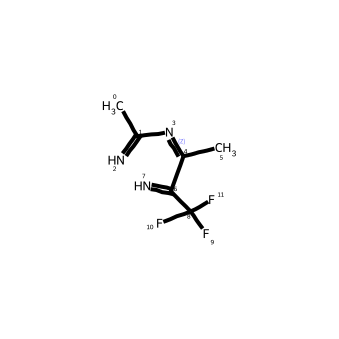 CC(=N)/N=C(/C)C(=N)C(F)(F)F